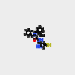 CC[C@H](C)[C@@H](C(=O)NCC1CC(S)CN1)N(Cc1ccccc1)Cc1ccccc1